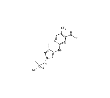 CCNc1nc(Nc2cn([C@@H]3C[C@]3(C)C#N)nc2C)ncc1C(F)(F)F